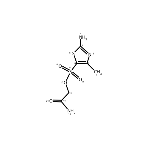 Cc1nc(N)sc1S(=O)(=O)OCC(N)=O